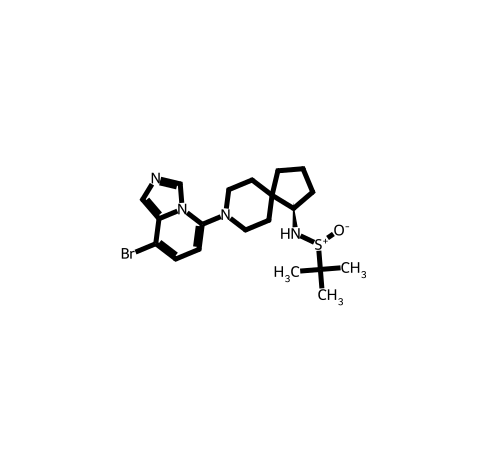 CC(C)(C)[S+]([O-])N[C@@H]1CCCC12CCN(c1ccc(Br)c3cncn13)CC2